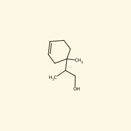 CC(CO)C1(C)CC=CCC1